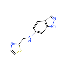 c1csc(CNc2ccc3cn[nH]c3c2)n1